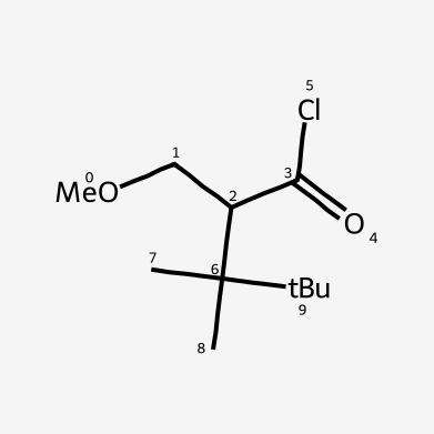 COCC(C(=O)Cl)C(C)(C)C(C)(C)C